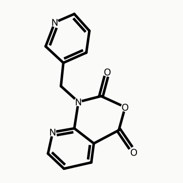 O=c1oc(=O)n(Cc2cccnc2)c2ncccc12